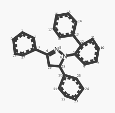 c1ccc(C2=NN(c3ccccc3-c3ccccc3)C(c3ccccc3)C2)cc1